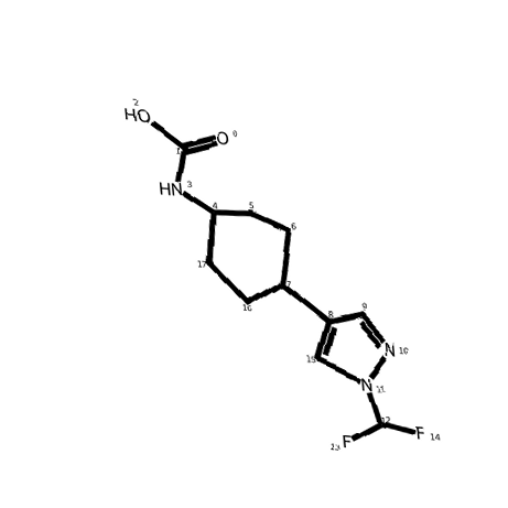 O=C(O)NC1CCC(c2cnn(C(F)F)c2)CC1